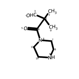 CC(C)([C]=O)C(=O)N1CCNCC1